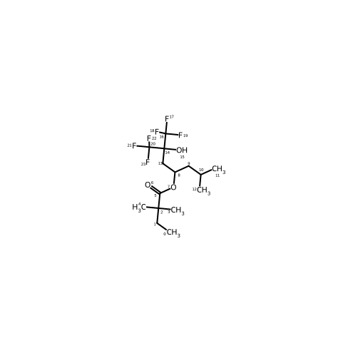 CCC(C)(C)C(=O)OC(CC(C)C)CC(O)(C(F)(F)F)C(F)(F)F